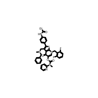 CCC(=O)Nc1ccc(-c2sc3c(c2CN(C)Cc2ccccc2)c(=O)c(OC(=O)N(C)c2ccccn2)cn3Cc2c(F)cccc2F)cc1